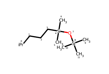 CC(C)[CH]CC[Si](C)(C)O[Si](C)(C)C